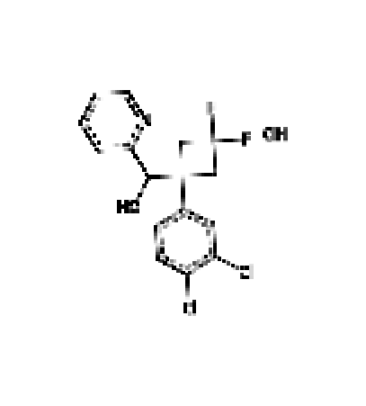 Cl.OC(c1ccccn1)C1(c2ccc(Cl)c(Cl)c2)CC(F)(F)C1